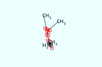 CCCCCCCCCCCCCCCC(=O)OCC(COC(=O)CCCCCCCCCCCCCCC)OC(=O)CCC(=O)OCCCCC(=O)O[C@H]1CC[C@H]2[C@@H]3CCC4=CC(=O)CC[C@]4(C)[C@H]3CC[C@]12C